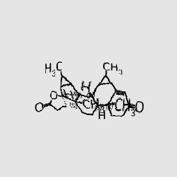 CC1C2C3=CC(=O)CC[C@]3(C)[C@H]3CC[C@@]4(C)[C@@H](C5C(C)C5[C@@]45CCC(=O)O5)[C@@H]3C12